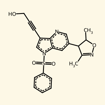 CC1=NOC(C)C1c1cnc2c(C#CCO)cn(S(=O)(=O)c3ccccc3)c2c1